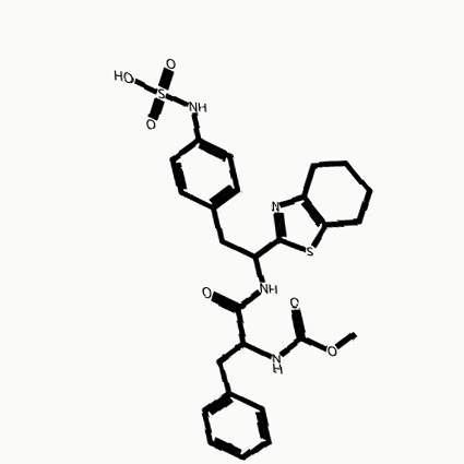 COC(=O)NC(Cc1ccccc1)C(=O)NC(Cc1ccc(NS(=O)(=O)O)cc1)c1nc2c(s1)CCCC2